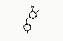 Cc1ccc(Cc2ccc(C)c(Br)c2)cc1